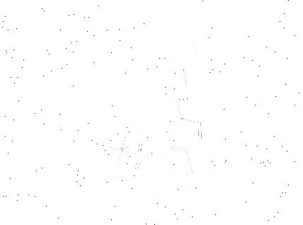 CCCCOc1ccc(C=O)c(OS(=O)(=O)C(F)(F)F)c1